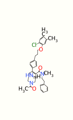 CC(=O)N1CC2CC(c3ccc(CCCOc4cc(C)c(C)cc4Cl)cc3)=C(C(=O)N(C)CCc3ccccc3)[C@@H](C1)N2